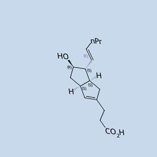 CCC/C=C/[C@@H]1[C@H]2CC(CCC(=O)O)=C[C@H]2C[C@H]1O